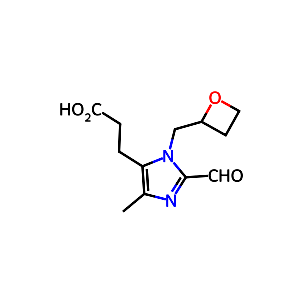 Cc1nc(C=O)n(CC2CCO2)c1CCC(=O)O